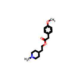 COc1ccc(CC(=O)OCCC2CCN(C)CC2)cc1